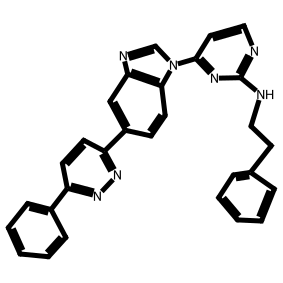 c1ccc(CCNc2nccc(-n3cnc4cc(-c5ccc(-c6ccccc6)nn5)ccc43)n2)cc1